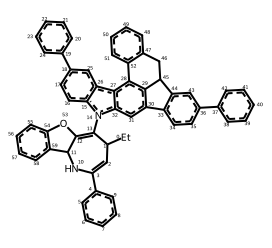 CCC1C=C(c2ccccc2)NC2C(=C1n1c3ccc(-c4ccccc4)cc3c3c4c5c(cc31)-c1ccc(-c3ccccc3)cc1C5Cc1ccccc1-4)Oc1ccccc12